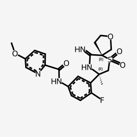 COc1ccc(C(=O)Nc2ccc(F)c([C@]3(C)CS(=O)(=O)[C@]4(CCOC4)C(=N)N3)c2)nc1